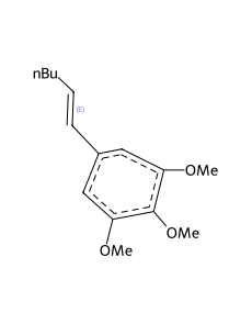 CCCC/C=C/c1cc(OC)c(OC)c(OC)c1